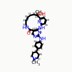 CN1CCC(c2ccc(Nc3ncc4c(n3)Nc3cccc(n3)C(C)(O)CC/C=C\CNC4=O)cc2)CC1